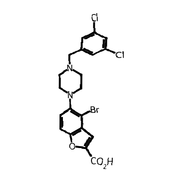 O=C(O)c1cc2c(Br)c(N3CCN(Cc4cc(Cl)cc(Cl)c4)CC3)ccc2o1